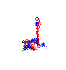 CC[C@@]1(O)C(=O)OCc2c(cc3n(c2=O)Cc2c-3nc3cc(F)c(C)c4c3c2[C@@H](NC(=O)[C@H](Cc2ccccc2)NC(=O)OCc2ccc(NC(=O)[C@H](CCCNC(N)=O)NC(=O)[C@@H](NC(=O)CCOCCOCCOCCOCCNC(=O)COC3/C=C(/C)CCCCC3)C(C)C)cc2)CC4)[C@@H]1C